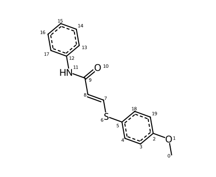 COc1ccc(SC=CC(=O)Nc2ccccc2)cc1